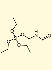 CCO[Si](OCC)(OCC)OCN[C]=O